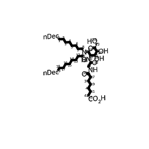 CCCCCCCCCCCCCCCCCCN(C(=O)CCCCCCCCCCCCCCCCC)[C@@H]1O[C@H](CO)[C@@H](O)[C@H](O)[C@@H]1NC(=O)CNC(=O)CCCCCCC(=O)O